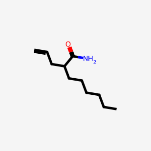 C=CCC(CCCCCC)C(N)=O